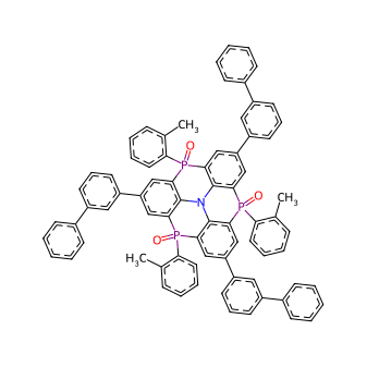 Cc1ccccc1P1(=O)c2cc(-c3cccc(-c4ccccc4)c3)cc3c2N2c4c1cc(-c1cccc(-c5ccccc5)c1)cc4P(=O)(c1ccccc1C)c1cc(-c4cccc(-c5ccccc5)c4)cc(c12)P3(=O)c1ccccc1C